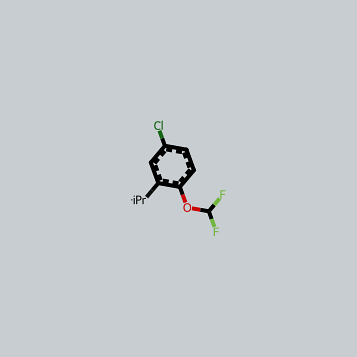 C[C](C)c1cc(Cl)ccc1OC(F)F